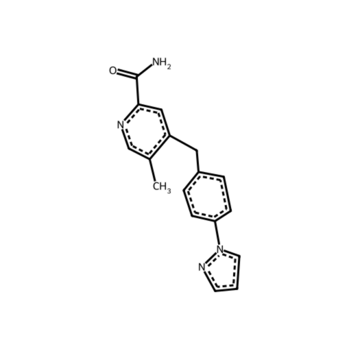 Cc1cnc(C(N)=O)cc1Cc1ccc(-n2cccn2)cc1